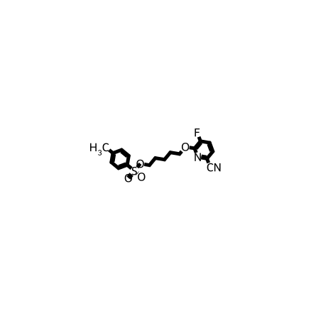 Cc1ccc(S(=O)(=O)OCCCCCOc2nc(C#N)ccc2F)cc1